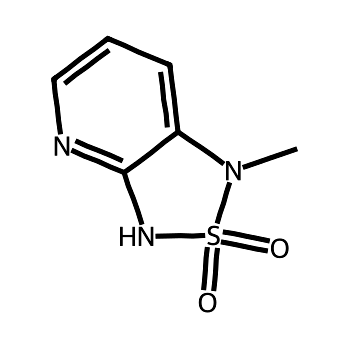 CN1c2cccnc2NS1(=O)=O